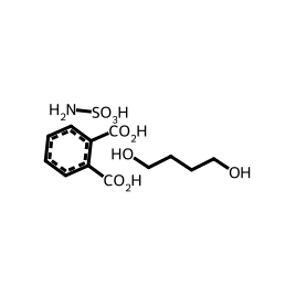 NS(=O)(=O)O.O=C(O)c1ccccc1C(=O)O.OCCCCO